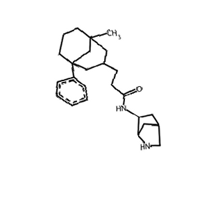 CC12CCCC(c3ccccc3)(CC(CCC(=O)NC3CC4CNC3C4)C1)C2